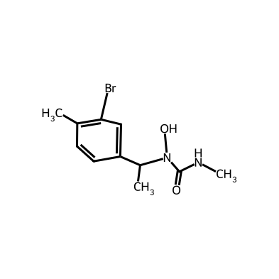 CNC(=O)N(O)C(C)c1ccc(C)c(Br)c1